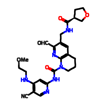 COCCNc1cc(NC(=O)N2CCCc3cc(CNC(=O)[C@H]4CCOC4)c(C=O)nc32)ncc1C#N